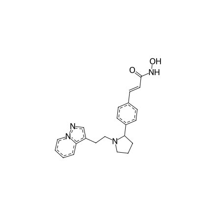 O=C(C=Cc1ccc(C2CCCN2CCc2cnn3ccccc23)cc1)NO